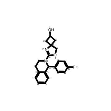 OC1CC2(COC(N3CCc4ccccc4C3c3ccc(F)cc3)=N2)C1